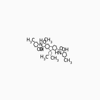 CCCC1(CCC)c2cc(C(=O)Nc3cc(C)ccc3O)ccc2-c2cc(OC)c(C(=O)Nc3cc(C)ccc3O)cc21